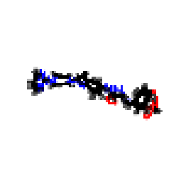 Cc1cc(N2CCN(c3ncccn3)CC2)nc2ccc(NC(=O)/C=C/c3ccc4c(c3)OCO4)cc12